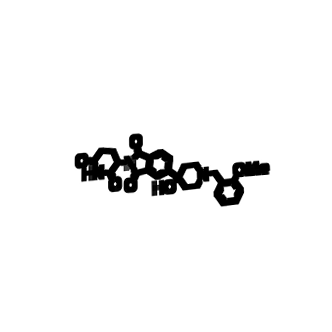 COc1ccccc1CN1CCC(O)(c2ccc3c(c2)C(=O)N(C2CCC(=O)NC2=O)C3=O)CC1